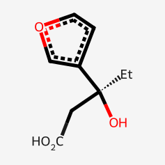 CC[C@](O)(CC(=O)O)c1ccoc1